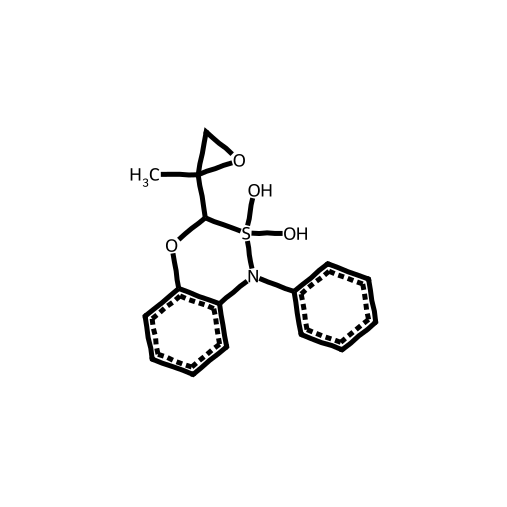 CC1(C2Oc3ccccc3N(c3ccccc3)S2(O)O)CO1